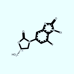 CCn1c(=O)oc2cc(N3C[C@H](C(=O)O)OC3=O)cc(F)c21